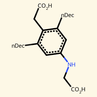 CCCCCCCCCCc1cc(NCC(=O)O)cc(CCCCCCCCCC)c1CC(=O)O